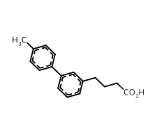 Cc1ccc(-c2cccc(CCCC(=O)O)c2)cc1